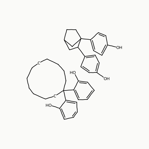 Oc1ccc(C2CC3CCC2(c2ccc(O)cc2)C3)cc1.Oc1ccccc1C1(c2ccccc2O)CCCCCCCCCCC1